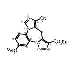 CCOC(=O)c1nnn2c1Cc1c(C#N)ncn1-c1ccc(OC)cc1-2